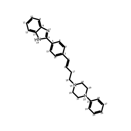 C(=Cc1ccc(-c2nc3ccccc3[nH]2)cc1)CCN1CCN(c2ccccc2)CC1